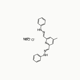 Cc1cc(C=NNc2ccccc2)nc(C=NNc2ccccc2)c1.[Cl-].[Cl-].[Cl-].[Nd+3]